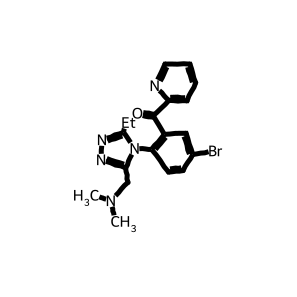 CCc1nnc(CN(C)C)n1-c1ccc(Br)cc1C(=O)c1ccccn1